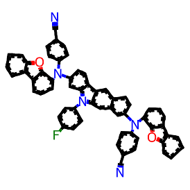 N#Cc1ccc(N(c2ccc3cc4c5ccc(N(c6ccc(C#N)cc6)c6cccc7c6oc6ccccc67)cc5n(-c5ccc(F)cc5)c4cc3c2)c2cccc3c2oc2ccccc23)cc1